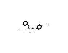 COc1ccc(NC(=O)N[C@@H](Cc2ccccc2)C(=O)O)cc1F